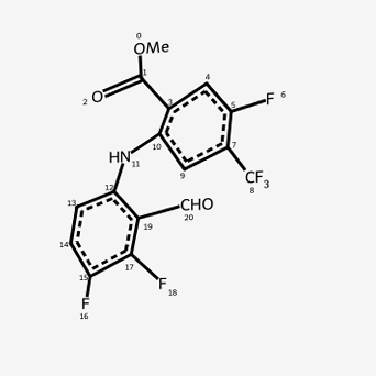 COC(=O)c1cc(F)c(C(F)(F)F)cc1Nc1ccc(F)c(F)c1C=O